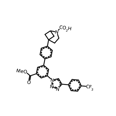 COC(=O)c1cc(-c2ccc(C34CCN(C(=O)O)C(C3)C4)cc2)cc(-n2cc(-c3ccc(C(F)(F)F)cc3)nn2)c1